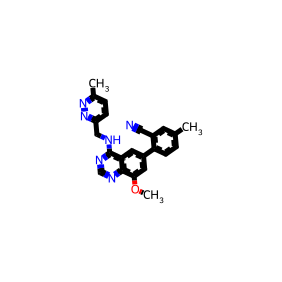 COc1cc(-c2ccc(C)cc2C#N)cc2c(NCc3ccc(C)nn3)ncnc12